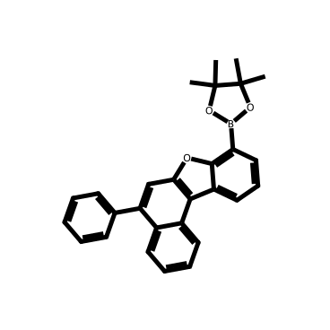 CC1(C)OB(c2cccc3c2oc2cc(-c4ccccc4)c4ccccc4c23)OC1(C)C